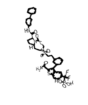 NC(=O)c1sc2ccc(C(F)(F)P(=O)(O)O)cc2c1-c1cccc(CCS(=O)(=O)N2CCC(=O)N3[C@H](CC[C@H]3C(=O)Nc3ccc(-c4ccccc4)cc3)CC2)c1